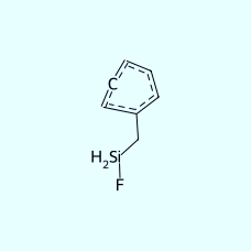 F[SiH2]Cc1ccccc1